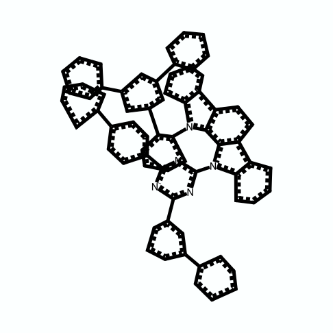 c1ccc(-c2ccc(-c3nc(-c4cccc(-c5ccccc5)c4)nc(-n4c5ccccc5c5ccc6c7ccccc7n(-c7ccccc7-c7cc(-c8ccccc8)cc(-c8ccccc8)c7)c6c54)n3)cc2)cc1